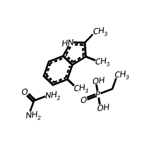 CCP(=O)(O)O.Cc1[nH]c2cccc(C)c2c1C.NC(N)=O